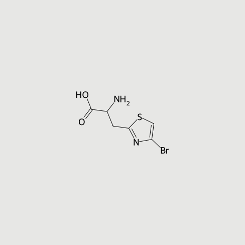 NC(Cc1nc(Br)cs1)C(=O)O